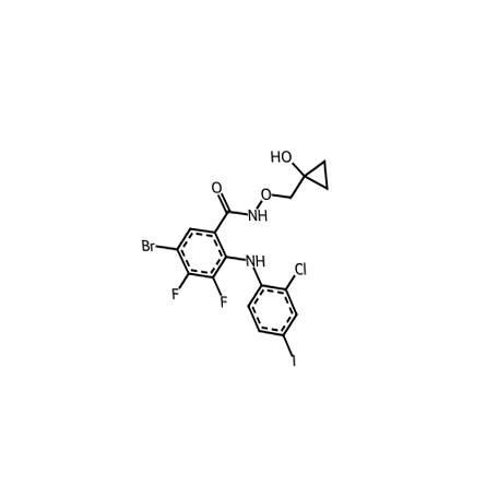 O=C(NOCC1(O)CC1)c1cc(Br)c(F)c(F)c1Nc1ccc(I)cc1Cl